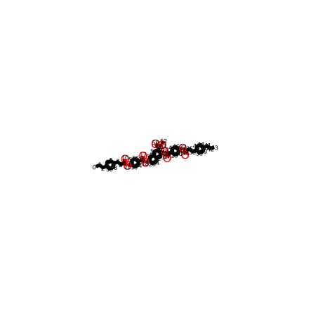 CCCc1ccc(CCC(=O)Oc2ccc(C(=O)Oc3ccc4cc(OC(=O)c5ccc(OC(=O)CCc6ccc(CCC)cc6)cc5)c(C(=O)OC)cc4c3)cc2)cc1